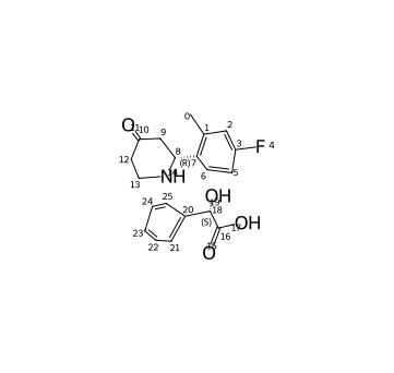 Cc1cc(F)ccc1[C@H]1CC(=O)CCN1.O=C(O)[C@@H](O)c1ccccc1